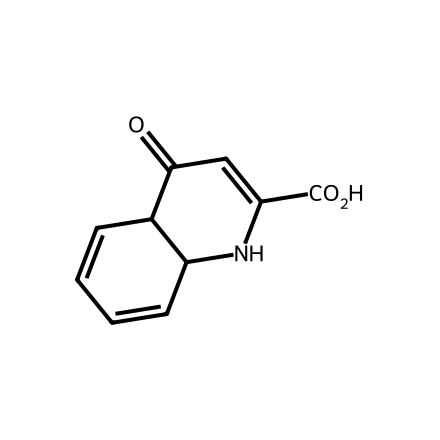 O=C(O)C1=CC(=O)C2C=CC=CC2N1